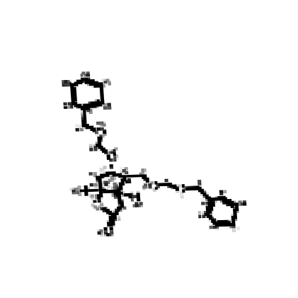 O=C1C[C@H]2[C@H](COCOCc3ccccc3)[C@@H](OCOCc3ccccc3)C[C@H]2O1